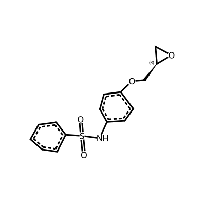 O=S(=O)(Nc1ccc(OC[C@H]2CO2)cc1)c1ccccc1